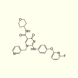 O=C(NC1CCOCC1)c1cn(Cc2cccnc2)c(Nc2ccc(Oc3cccc(F)n3)cc2)nc1=O